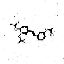 CC(=O)Oc1cccc(C=Cc2ccc(OC(C)=O)c(OC(C)=O)c2)c1